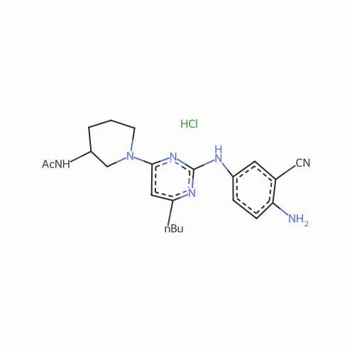 CCCCc1cc(N2CCCC(NC(C)=O)C2)nc(Nc2ccc(N)c(C#N)c2)n1.Cl